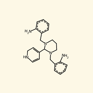 Nc1ccccc1CN1CCCN(Cc2ccccc2N)C1C1=CCNC=C1